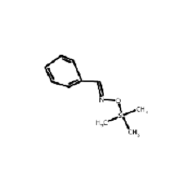 C[Si](C)(C)O/N=C/c1ccccc1